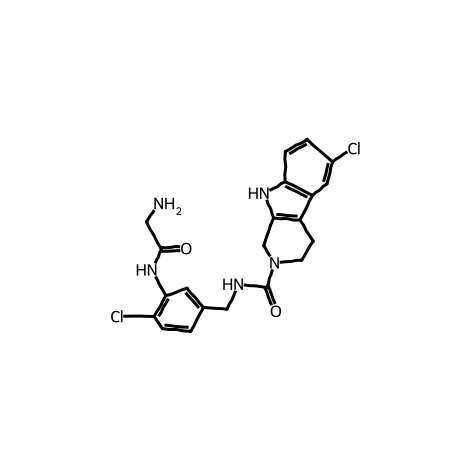 NCC(=O)Nc1cc(CNC(=O)N2CCc3c([nH]c4ccc(Cl)cc34)C2)ccc1Cl